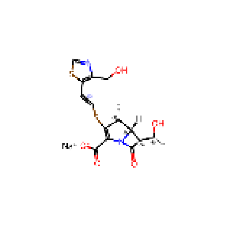 C[C@@H](O)[C@H]1C(=O)N2C(C(=O)[O-])=C(S/C=C/c3scnc3CO)[C@H](C)[C@H]12.[Na+]